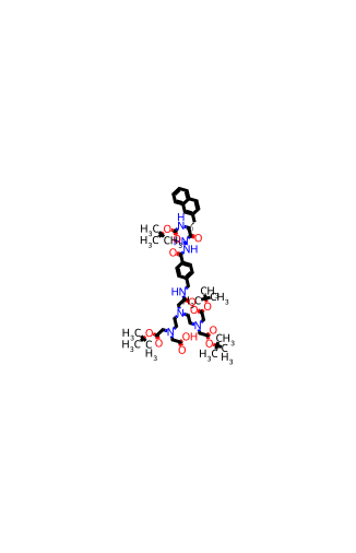 CC(C)(C)OC(=O)CN(CCN(CCN(CC(=O)OC(C)(C)C)CC(=O)OC(C)(C)C)CC(=O)NCc1ccc(C(=O)NNC(=O)[C@@H](Cc2ccc3ccccc3c2)NC(=O)OC(C)(C)C)cc1)CC(=O)O